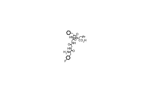 CC(C)CC(NC(=O)[C@@H](Cc1ccccc1)NC(=O)CNC(=O)CNC(=O)[C@H](N)Cc1ccc(F)cc1)C(=O)O